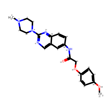 CN1CCN(c2ncc3cc(NC(=O)COc4ccc(OC(F)(F)F)cc4)ccc3n2)CC1